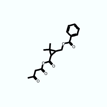 CC(=O)CC(=O)OC(=O)C1C(COC(=O)c2ccccc2)C1(C)C